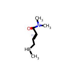 CBC/C=C/C(=O)N(C)C